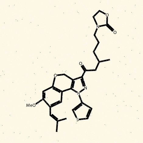 COc1cc2c(cc1C=C(C)C)-c1c(c(C(=O)CC(C)CCCN3CCOC3=O)nn1-c1ccsc1)CO2